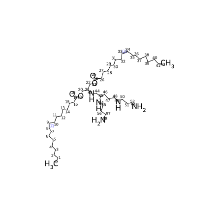 CCCCCCCC/C=C\CCCCCCCC(=O)OCC(COC(=O)CCCCCCC/C=C\CCCCCCCC)NCC(CCCNCCCN)NCCCN